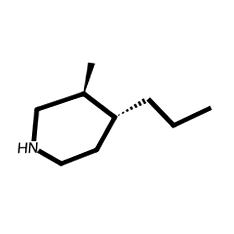 CCC[C@@H]1CCNC[C@H]1C